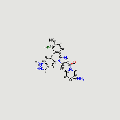 CN1NCc2cc(-n3c(-c4ccc(C#N)c(F)c4)nc(C(=O)N4CCC[C@@H](N)C4)c3C(F)(F)F)ccc21